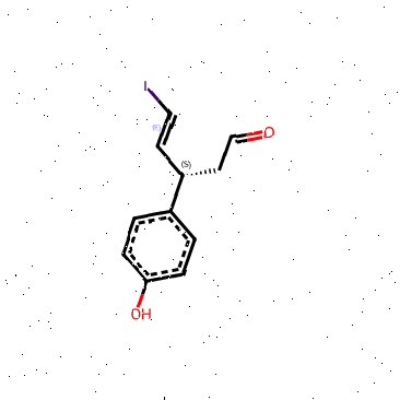 O=CC[C@@H](/C=C/I)c1ccc(O)cc1